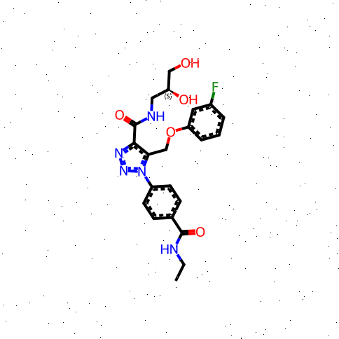 CCNC(=O)c1ccc(-n2nnc(C(=O)NC[C@H](O)CO)c2COc2cccc(F)c2)cc1